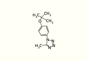 Cc1nnnn1-c1ccc(OC(C)(C)C)cc1